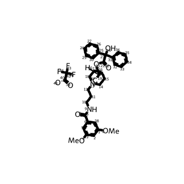 COc1cc(OC)cc(C(=O)NCCC[N+]23CCC(CC2)[C@@H](OC(=O)C(O)(c2ccccc2)c2ccccc2)C3)c1.O=C([O-])C(F)(F)F